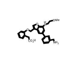 COCCNc1cc(-c2cccc(CN)c2)cc2c(COc3ccccc3CC(=O)O)coc12